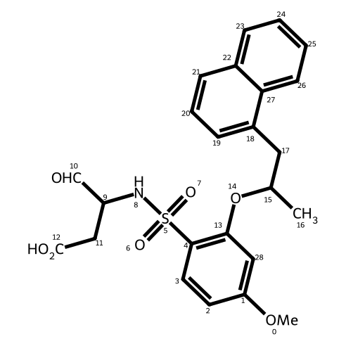 COc1ccc(S(=O)(=O)NC(C=O)CC(=O)O)c(OC(C)Cc2cccc3ccccc23)c1